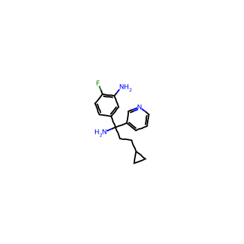 Nc1cc(C(N)(CCC2CC2)c2cccnc2)ccc1F